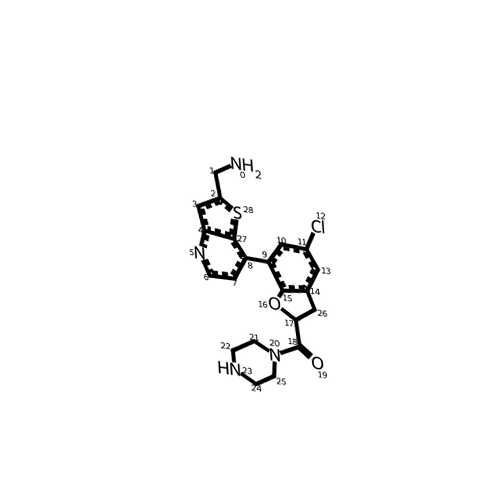 NCc1cc2nccc(-c3cc(Cl)cc4c3OC(C(=O)N3CCNCC3)C4)c2s1